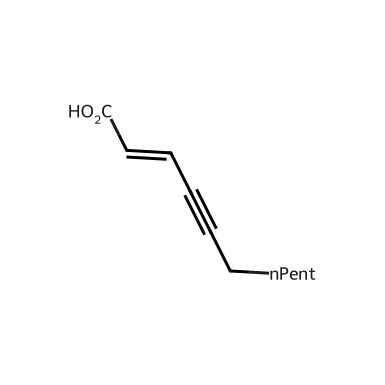 CCCCCCC#CC=CC(=O)O